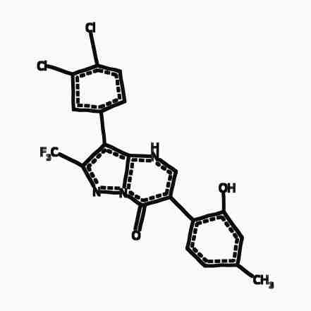 Cc1ccc(-c2c[nH]c3c(-c4ccc(Cl)c(Cl)c4)c(C(F)(F)F)nn3c2=O)c(O)c1